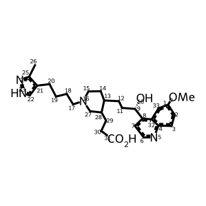 COc1ccc2nccc([C@@H](O)CCC3CCN(CCCCc4c[nH]nc4C)CC3CCC(=O)O)c2c1